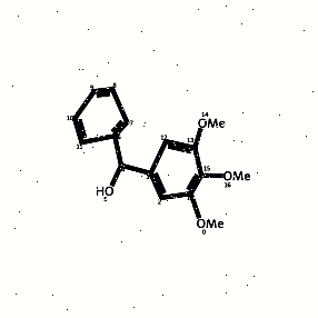 COc1cc(C(O)c2ccccc2)cc(OC)c1OC